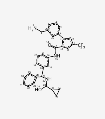 NCc1cccc(-n2nc(C(F)(F)F)cc2C(=O)Nc2cccc(C(NC(O)C3CC3)c3ccccc3)c2)c1